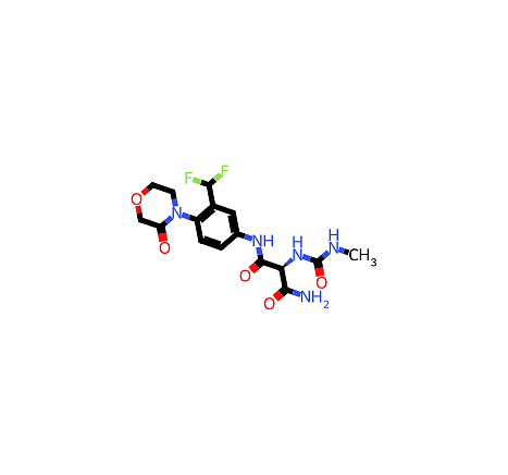 CNC(=O)N[C@@H](C(N)=O)C(=O)Nc1ccc(N2CCOCC2=O)c(C(F)F)c1